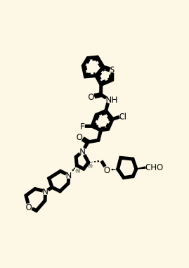 O=C[C@H]1CC[C@H](OC[C@@H]2C[C@H](N3CCC(N4CCOCC4)CC3)CN2C(=O)Cc2cc(Cl)c(NC(=O)c3csc4ccccc34)cc2F)CC1